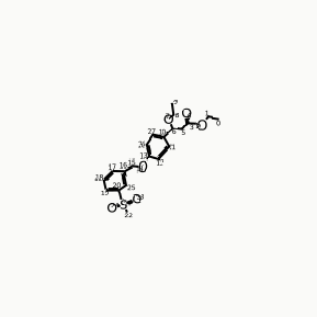 CCOC(=O)CC(OCC)c1ccc(OCc2cccc(S(C)(=O)=O)c2)cc1